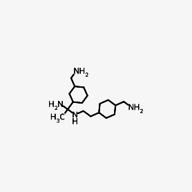 CC(N)(NCCC1CCC(CN)CC1)C1CCCC(CN)C1